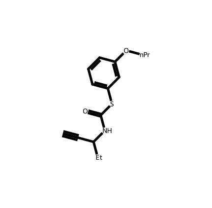 C#CC(CC)NC(=O)Sc1cccc(OCCC)c1